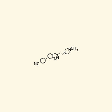 CN1CCN(CCc2cc3ccc(-c4ccc(C#N)cc4)cc3nn2)CC1